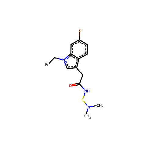 CC(C)Cn1cc(CC(=O)NSN(C)C)c2ccc(Br)cc21